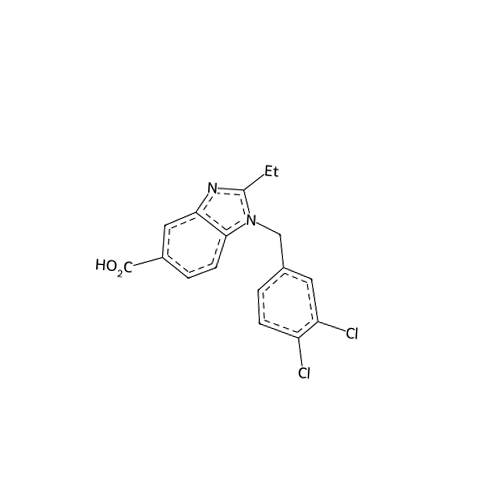 CCc1nc2cc(C(=O)O)ccc2n1Cc1ccc(Cl)c(Cl)c1